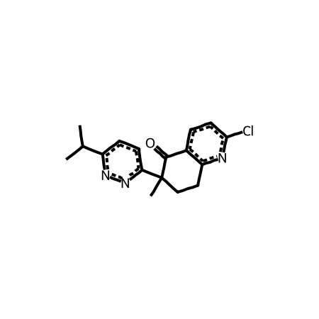 CC(C)c1ccc(C2(C)CCc3nc(Cl)ccc3C2=O)nn1